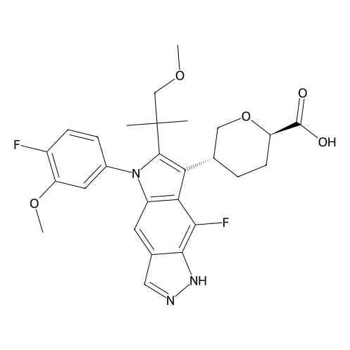 COCC(C)(C)c1c([C@H]2CC[C@H](C(=O)O)OC2)c2c(F)c3[nH]ncc3cc2n1-c1ccc(F)c(OC)c1